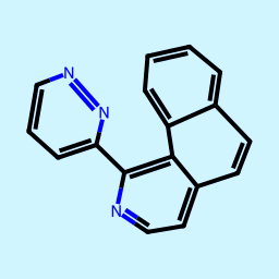 c1cnnc(-c2nccc3ccc4ccccc4c23)c1